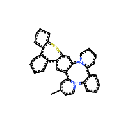 Cc1cc[n+]2c3ccccc3c3cccc[n+]3c3cc4sc5ccccc5c5ccccc5c4cc3c2c1